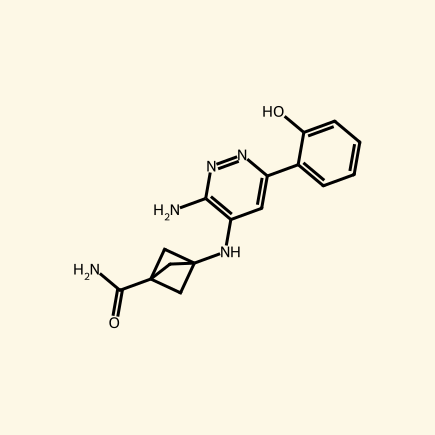 NC(=O)C12CC(Nc3cc(-c4ccccc4O)nnc3N)(C1)C2